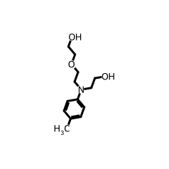 Cc1ccc(N(CCO)CCOCCO)cc1